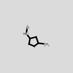 CCBC1CCC(C)C1